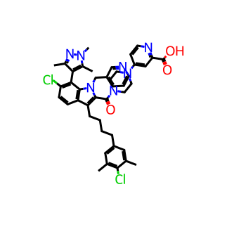 Cc1cc(CCCCc2c(C(=O)N3CCN(c4ccnc(C(=O)O)c4)CC3)n(Cc3cccnc3)c3c(-c4c(C)nn(C)c4C)c(Cl)ccc23)cc(C)c1Cl